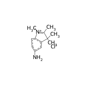 CC1=[N+](C)c2ccc(N)cc2C1(C)C.[Cl-]